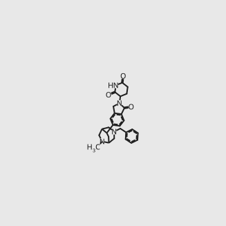 CN1CC2CN(Cc3ccccc3)CC1CC2c1ccc2c(c1)CN(C1CCC(=O)NC1=O)C2=O